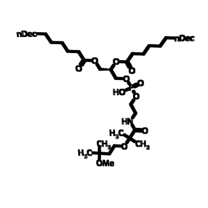 CCCCCCCCCCCCCCCC(=O)OC[C@H](COP(=O)(O)OCCNC(=O)C(C)(C)OCCC(C)(C)OC)OC(=O)CCCCCCCCCCCCCCC